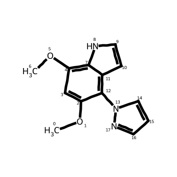 COc1cc(OC)c2[nH]ccc2c1-n1cccn1